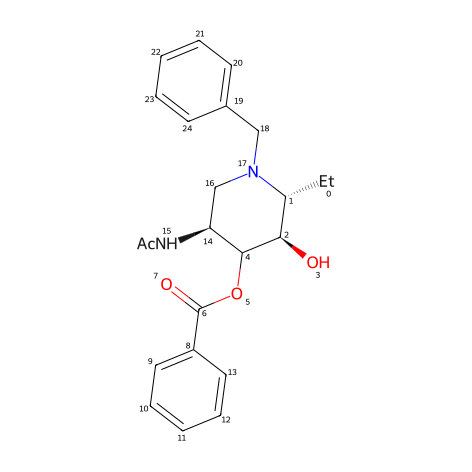 CC[C@@H]1[C@@H](O)C(OC(=O)c2ccccc2)[C@@H](NC(C)=O)CN1Cc1ccccc1